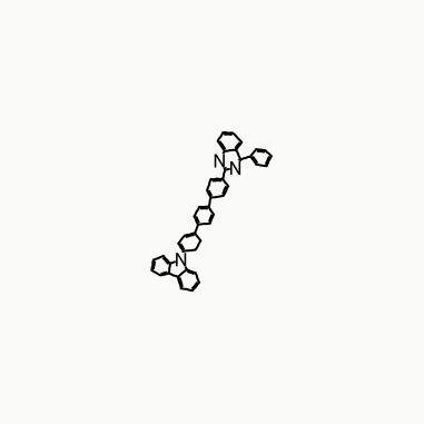 C1=C(c2ccc(-c3ccc(-c4nc(-c5ccccc5)c5ccccc5n4)cc3)cc2)CCC(n2c3ccccc3c3ccccc32)=C1